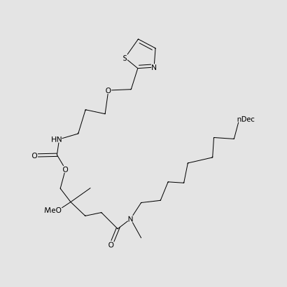 CCCCCCCCCCCCCCCCCCN(C)C(=O)CCC(C)(COC(=O)NCCCOCc1nccs1)OC